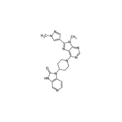 Cn1cc(-c2nc3c(N4CCC(n5c(=O)[nH]c6cnccc65)CC4)ncnc3n2C)cn1